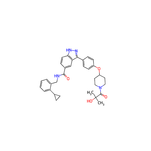 CC(C)(O)C(=O)N1CCC(Oc2ccc(-c3n[nH]c4ccc(C(=O)NCc5ccccc5C5CC5)cc34)cc2)CC1